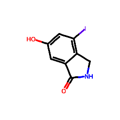 O=C1NCc2c(I)cc(O)cc21